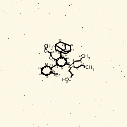 CCC[Si](CCC)(CCC)c1cc(-c2ccccc2Br)c(OCOC)c(C23CC4CC(CC(C4)C2)C3)c1